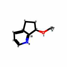 CC(C)O[C@@H]1CCc2cccnc21